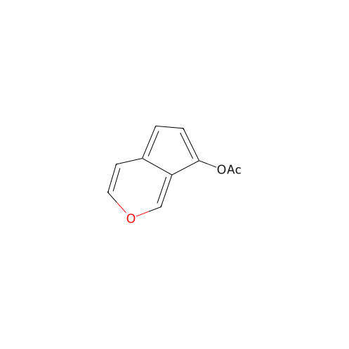 CC(=O)Oc1ccc2ccocc1-2